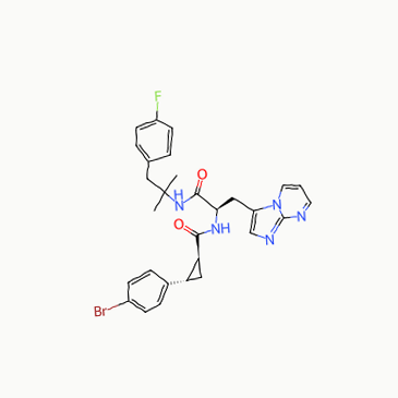 CC(C)(Cc1ccc(F)cc1)NC(=O)[C@@H](Cc1cnc2ncccn12)NC(=O)[C@H]1C[C@@H]1c1ccc(Br)cc1